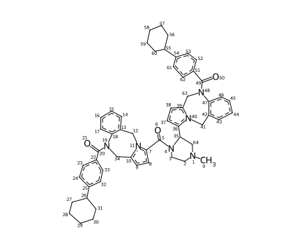 CN1CCN(C(=O)c2ccc3n2Cc2ccccc2N(C(=O)c2ccc(C4CCCCC4)cc2)C3)C(c2ccc3n2Cc2ccccc2N(C(=O)c2ccc(C4CCCCC4)cc2)C3)C1